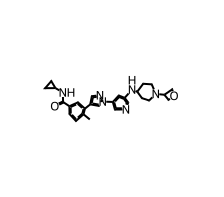 Cc1ccc(C(=O)NC2CC2)cc1-c1cnn(-c2cncc(NC3CCN(C4COC4)CC3)c2)c1